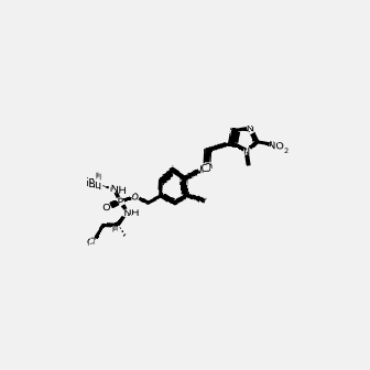 CC[C@@H](C)NP(=O)(N[C@H](C)CCl)OCc1ccc(OCc2cnc([N+](=O)[O-])n2C)c(C)c1